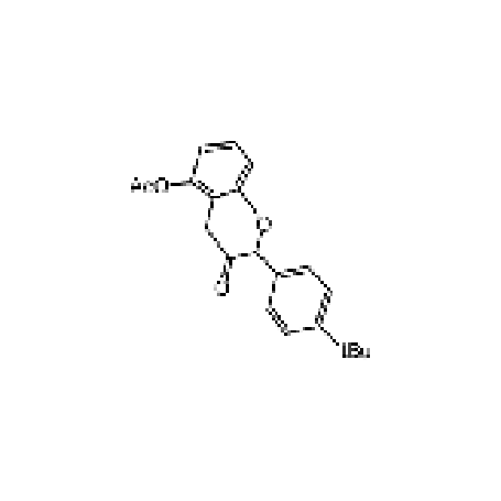 CC(=O)Oc1cccc2c1CC(=O)C(c1ccc(C(C)(C)C)cc1)O2